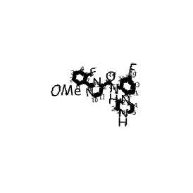 COc1cccc(F)c1-c1nccc(C(=O)Nc2cc(F)ccc2N2CCNCC2)n1